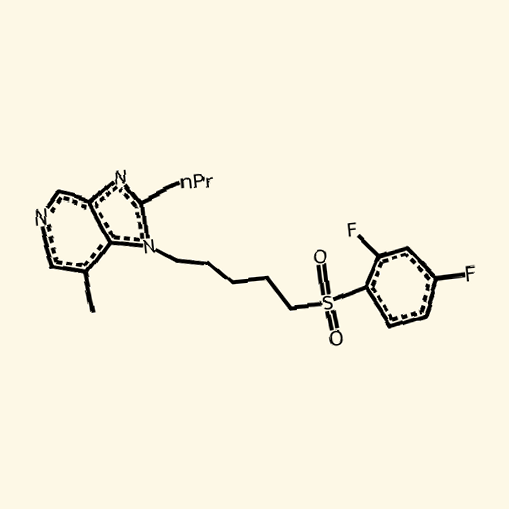 CCCc1nc2cncc(C)c2n1CCCCCS(=O)(=O)c1ccc(F)cc1F